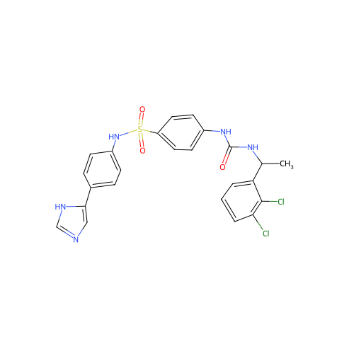 CC(NC(=O)Nc1ccc(S(=O)(=O)Nc2ccc(-c3cnc[nH]3)cc2)cc1)c1cccc(Cl)c1Cl